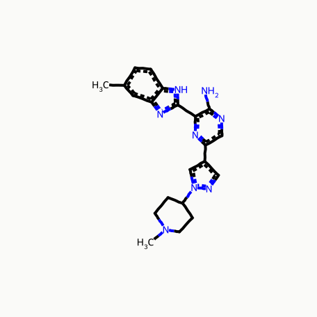 Cc1ccc2[nH]c(-c3nc(-c4cnn(C5CCN(C)CC5)c4)cnc3N)nc2c1